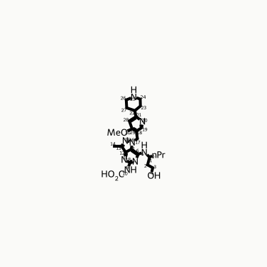 CCCC(CCO)Nc1nc(NC(=O)O)nc2c(C)nn(Cc3cnc(C4CCNCC4)cc3OC)c12